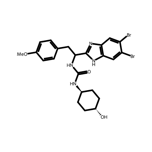 COc1ccc(CC(NC(=O)N[C@H]2CC[C@H](O)CC2)c2nc3cc(Br)c(Br)cc3[nH]2)cc1